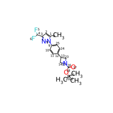 Cc1cc(C(F)F)nn1-c1ccc(C2CN(C(=O)OC(C)(C)C)C2)cc1